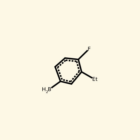 Bc1ccc(F)c(CC)c1